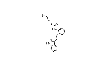 O=C(CCCCBr)Nc1ccccc1/C=C/c1n[nH]c2ccccc12